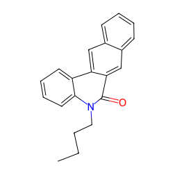 CCCCn1c(=O)c2cc3ccccc3cc2c2ccccc21